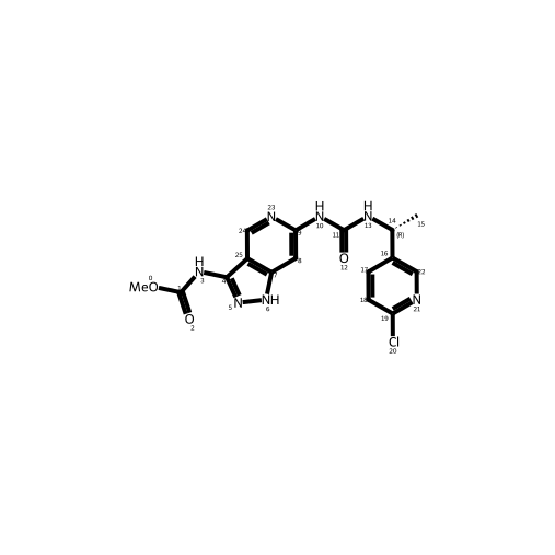 COC(=O)Nc1n[nH]c2cc(NC(=O)N[C@H](C)c3ccc(Cl)nc3)ncc12